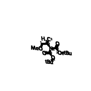 COC[C@@H](C)N(C(=O)OC(C)(C)C)C(=O)OC(C)(C)C